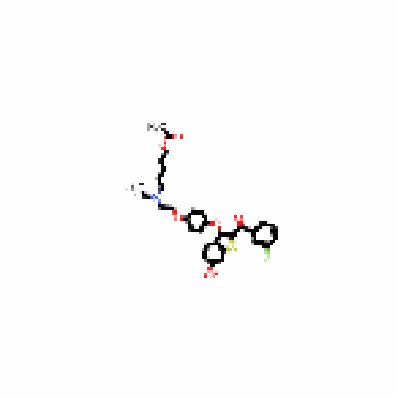 CCN(CCCCCOC(C)=O)CCOc1ccc(Oc2c(C(=O)c3cccc(F)c3)sc3cc(O)ccc23)cc1